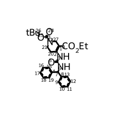 CCOC(=O)C1=C(NC(=O)NC(c2ccccc2)c2ccccc2)CCN(C(=O)OC(C)(C)C)C1